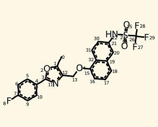 Cc1oc(-c2ccc(F)cc2)nc1COc1cccc2cc(NS(=O)(=O)C(F)(F)F)ccc12